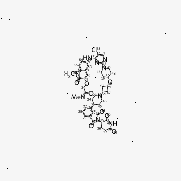 CNC(=O)COc1cc2cc(Nc3nc(N4CCC(O[C@H]5C[C@H](N6CCC(c7cccc8c7C(=O)N(C7CCC(=O)NC7=O)C8=O)CC6)C5)CC4)ncc3Cl)ccc2n(C)c1=O